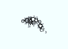 CC1[C@@H]2[C@@H](CC[C@]3(C)CC(Oc4ccc(C(F)(F)F)cc4)C[C@@H]23)[C@@]2(C)CCC(=O)C=C2N1C